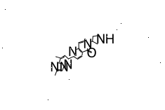 Cc1cn2nc(-c3ccc4c(=O)n([C@H]5CCNC5)ccc4n3)cc(C)c2n1